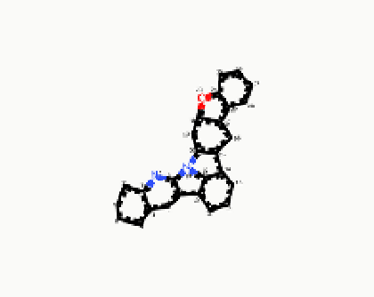 c1ccc2nc3c(cc2c1)c1cccc2c4cc5c(cc4n3c21)oc1ccccc15